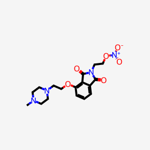 CN1CCN(CCOc2cccc3c2C(=O)N(CCO[N+](=O)[O-])C3=O)CC1